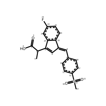 CC(C(=O)O)C1=CC(=Cc2ccc(S(C)(=O)=O)cc2)c2ccc(F)cc21